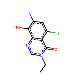 CCn1cnc2c(O)c(I)cc(Cl)c2c1=O